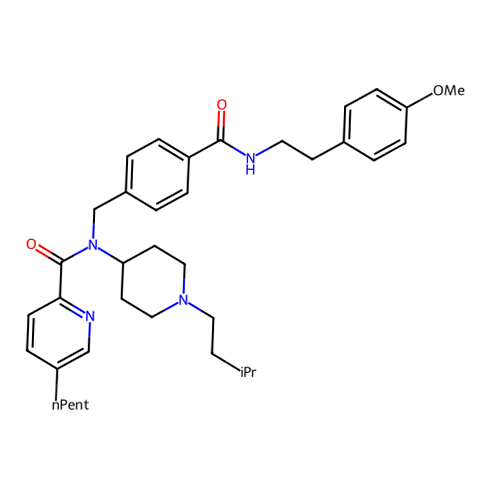 CCCCCc1ccc(C(=O)N(Cc2ccc(C(=O)NCCc3ccc(OC)cc3)cc2)C2CCN(CCC(C)C)CC2)nc1